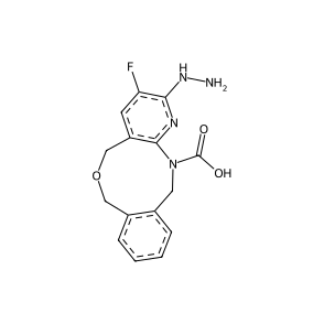 NNc1nc2c(cc1F)COCc1ccccc1CN2C(=O)O